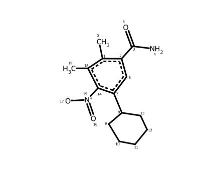 Cc1c(C(N)=O)cc(C2CCCCC2)c([N+](=O)[O-])c1C